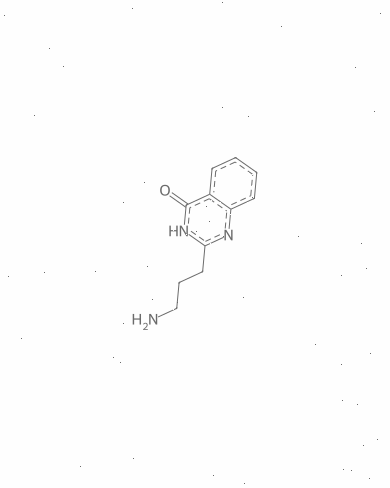 NCCCc1nc2ccccc2c(=O)[nH]1